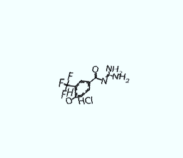 Cl.NC(N)=NC(=O)c1ccc(O)c(C(F)(F)F)c1